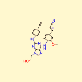 C#Cc1ccc(Nc2nc(Nc3c(C)cc(/C=C/C#N)cc3OC)c3ncn(CCO)c3n2)cc1